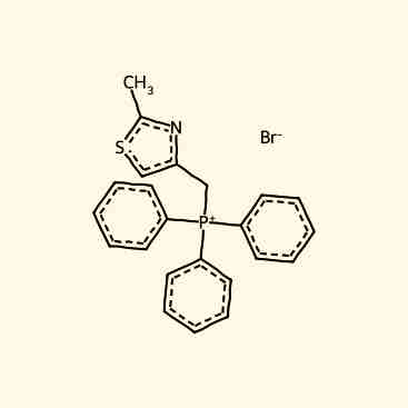 Cc1nc(C[P+](c2ccccc2)(c2ccccc2)c2ccccc2)cs1.[Br-]